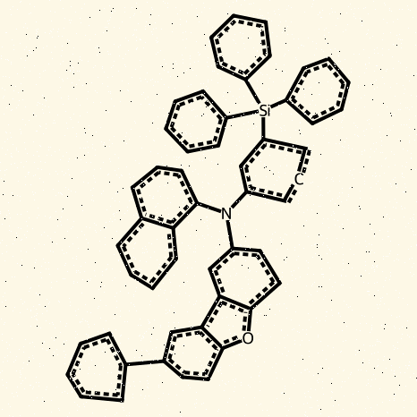 c1ccc(-c2ccc3oc4ccc(N(c5cccc([Si](c6ccccc6)(c6ccccc6)c6ccccc6)c5)c5cccc6ccccc56)cc4c3c2)cc1